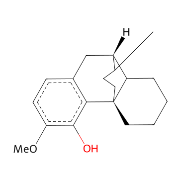 COc1ccc2c(c1O)[C@@]13CCCCC1[C@@H](C2)C(C)CC3